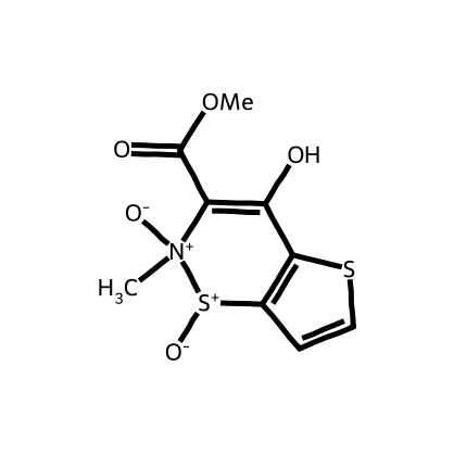 COC(=O)C1=C(O)c2sccc2[S+]([O-])[N+]1(C)[O-]